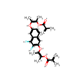 C=C(C)C(=O)OC(C)=C(C)Oc1ccc2cc(OC(C)=C(C)OC(=O)C(=C)C)c(F)c(F)c2c1